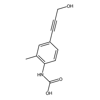 Cc1cc(C#CCO)ccc1NC(=O)O